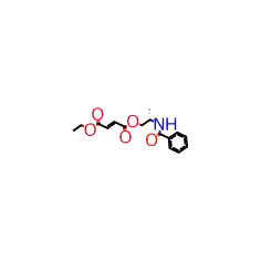 CCOC(=O)/C=C/C(=O)OC[C@H](C)NC(=O)c1ccccc1